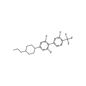 CCCC1CCC(c2cc(F)c(-c3ccc(C(F)(F)F)c(F)c3)c(F)c2)CC1